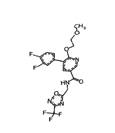 COCCOc1ncc(C(=O)NCc2nc(C(F)(F)F)no2)cc1-c1ccc(F)c(F)c1